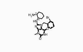 Cn1c(=O)[nH]c(=O)c2c1nc(N[C@@H]1CCCC[C@@H]1N)n2Cc1ccccc1Br